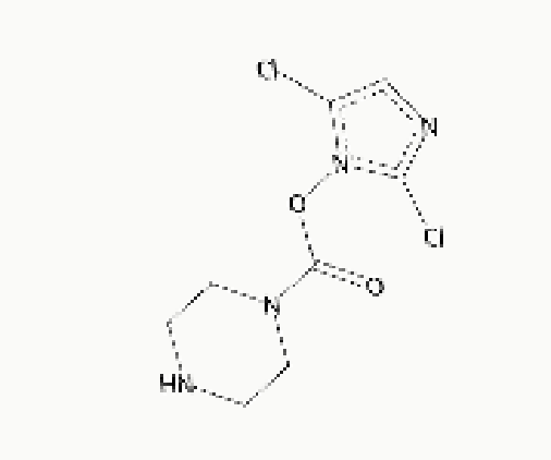 O=C(On1c(Cl)cnc1Cl)N1CCNCC1